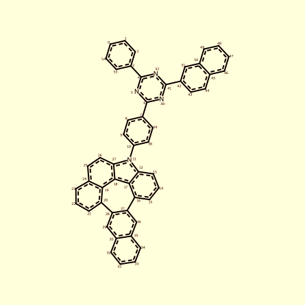 c1ccc(-c2nc(-c3ccc(-n4c5cccc6c5c5c7c(cccc7ccc54)-c4cc5ccccc5cc4-6)cc3)nc(-c3ccc4ccccc4c3)n2)cc1